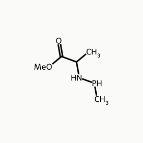 COC(=O)C(C)NPC